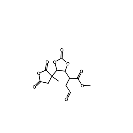 COC(=O)C(CC=O)C1OC(=O)OC1C1(C)CC(=O)OC1=O